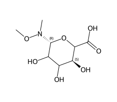 CON(C)[C@@H]1OC(C(=O)O)[C@@H](O)C(O)C1O